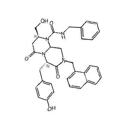 O=C1[C@H](Cc2ccc(O)cc2)N2C(=O)C[C@@H](CO)N(C(=O)NCc3ccccc3)C2CN1Cc1cccc2ccccc12